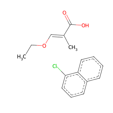 CCO/C=C(\C)C(=O)O.Clc1cccc2ccccc12